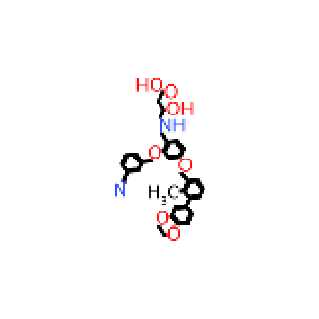 Cc1c(COc2ccc(CNCC(O)CC(=O)O)c(OCc3cccc(C#N)c3)c2)cccc1-c1ccc2c(c1)OCCO2